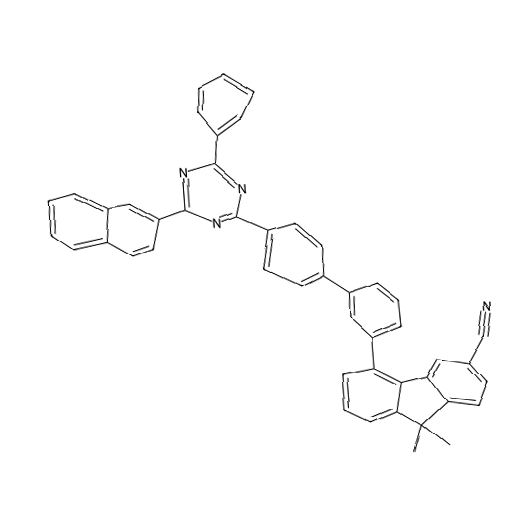 CC1(C)c2ccc(C#N)cc2-c2c(-c3cccc(-c4ccc(-c5nc(-c6ccccc6)nc(-c6ccc7ccccc7c6)n5)cc4)c3)cccc21